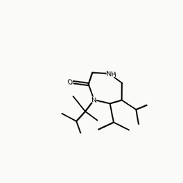 CC(C)C1CNCC(=O)N(C(C)(C)C(C)C)C1C(C)C